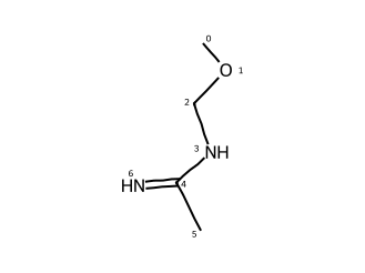 COCNC(C)=N